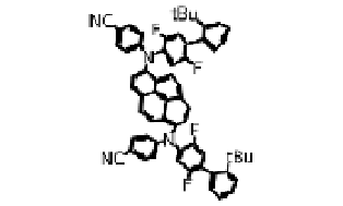 CC(C)(C)c1ccccc1-c1cc(F)c(N(c2ccc(C#N)cc2)c2ccc3ccc4c(N(c5ccc(C#N)cc5)c5cc(F)c(-c6ccccc6C(C)(C)C)cc5F)ccc5ccc2c3c54)cc1F